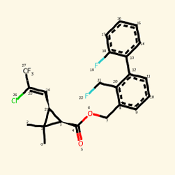 CC1(C)[C@H](C(=O)OCc2cccc(-c3ccccc3F)c2CF)[C@@H]1/C=C(\Cl)C(F)(F)F